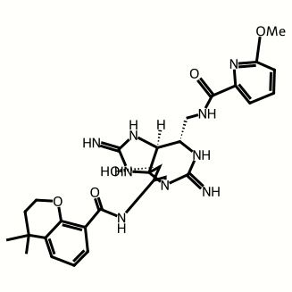 COc1cccc(C(=O)NC[C@@H]2NC(=N)N3CC(NC(=O)c4cccc5c4OCCC5(C)C)[C@@H](O)C34NC(=N)N[C@@H]24)n1